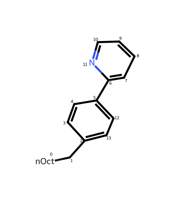 CCCCCCCCCc1ccc(-c2ccccn2)cc1